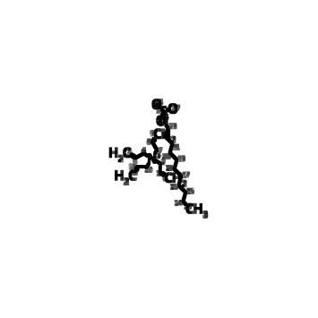 C=CC[N+](CC=C)(CC=C)CC=C.CCCCCCCCCCCO[SH](=O)=O